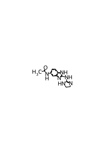 CC(=O)Nc1ccc2[nH]c(NC3=NCCN3)nc2c1